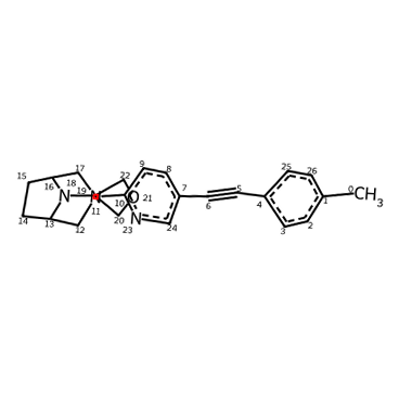 Cc1ccc(C#Cc2ccc(N3CC4CCC(C3)N4C3COC3)nc2)cc1